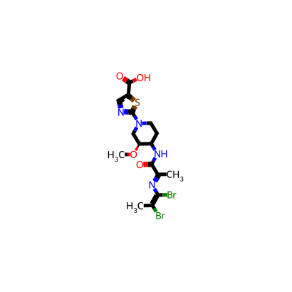 CO[C@H]1CN(c2ncc(C(=O)O)s2)CCC1NC(=O)/C(C)=N/C(Br)=C(\C)Br